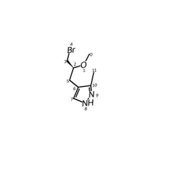 CO[C@H](CBr)Cc1c[nH]nc1C